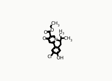 CCOC(=O)c1cn2c(cc1=O)-c1cc(Cl)c(O)cc1CC2C(C)C